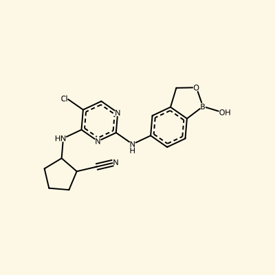 N#CC1CCCC1Nc1nc(Nc2ccc3c(c2)COB3O)ncc1Cl